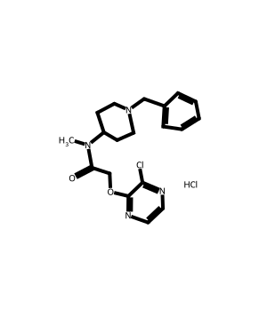 CN(C(=O)COc1nccnc1Cl)C1CCN(Cc2ccccc2)CC1.Cl